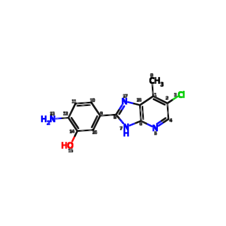 Cc1c(Cl)cnc2[nH]c(-c3ccc(N)c(O)c3)nc12